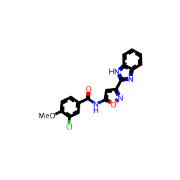 COc1ccc(C(=O)Nc2cc(-c3nc4ccccc4[nH]3)no2)cc1Cl